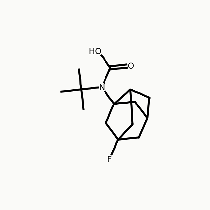 CC(C)(C)N(C(=O)O)C12CC3CC1CC(F)(C3)C2